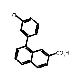 O=C(O)c1ccc2cccc(-c3ccnc(Cl)c3)c2c1